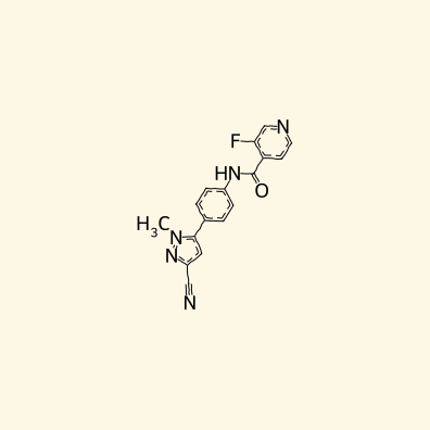 Cn1nc(C#N)cc1-c1ccc(NC(=O)c2ccncc2F)cc1